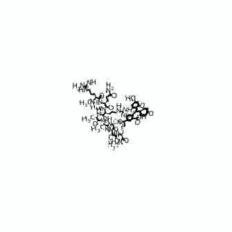 CN[C@@H](CCCNC(=N)N)C(=O)N[C@@H](CCC(N)=O)C(=O)N[C@@H](CCCNC(=N)N)C(=O)N[C@@H](C)C(=O)N[C@@H](C)C(=O)N[C@@H](C)C(=O)N[C@@H](C)C(=O)N[C@@H](CSCC(=O)c1ccc(-c2c3ccc(=O)cc-3oc3cc(O)ccc23)c(C(=O)O)c1)C(N)=O